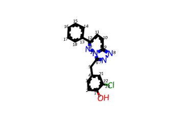 Oc1ccc(Cc2nnc3ccc(-c4ccccc4)nn23)cc1Cl